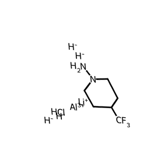 Cl.NN1CCC(C(F)(F)F)CC1.[Al+3].[H-].[H-].[H-].[H-].[Li+]